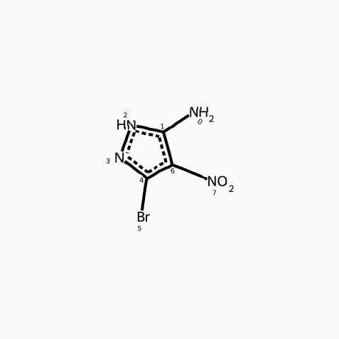 Nc1[nH]nc(Br)c1[N+](=O)[O-]